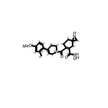 COc1ccc(C2=CCN(C(=O)C3CCC4(CN4)CC3C(=O)NO)CC2)c(C)c1